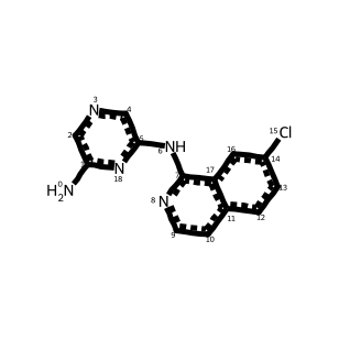 Nc1cncc(Nc2nccc3ccc(Cl)cc23)n1